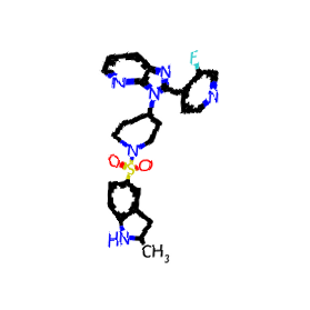 CC1Cc2cc(S(=O)(=O)N3CCC(n4c(-c5ccncc5F)nc5cccnc54)CC3)ccc2N1